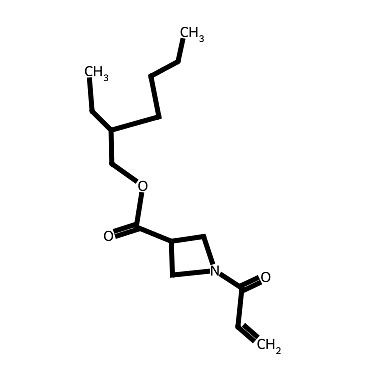 C=CC(=O)N1CC(C(=O)OCC(CC)CCCC)C1